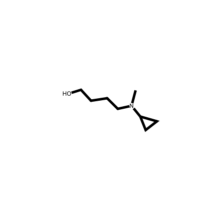 CN(CCCCO)C1CC1